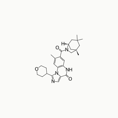 Cc1cc2c(cc1C(=O)N1C[C@]3(C)C[C@H]1CC(C)(C)C3)[nH]c(=O)c1cnc(C3CCOCC3)n12